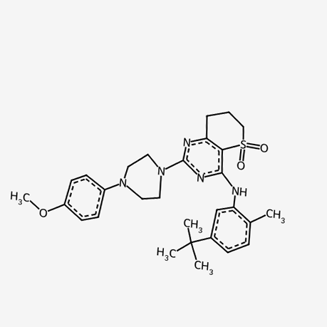 COc1ccc(N2CCN(c3nc4c(c(Nc5cc(C(C)(C)C)ccc5C)n3)S(=O)(=O)CCC4)CC2)cc1